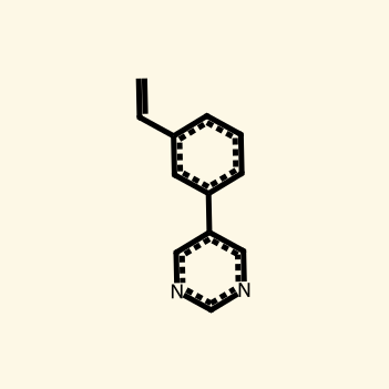 C=Cc1cccc(-c2cncnc2)c1